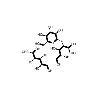 O=C[C@H](O)[C@@H](O)[C@H](O)[C@H](O)CO.O=C[C@H](O)[C@@H](O[C@@H]1O[C@H](CO)[C@@H](O)[C@H](O)[C@H]1O)[C@H](O)[C@H](O)CO